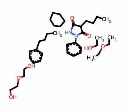 C1CCCCC1.CCCCC1C(=O)NN(c2ccccc2)C1=O.CCCCc1ccccc1.CCO.CCOCC.OCCOCCO